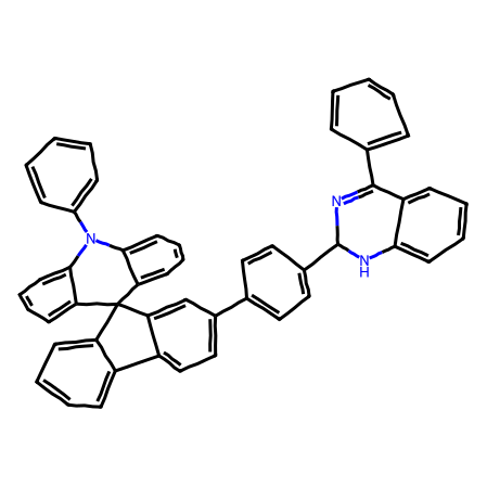 c1ccc(C2=NC(c3ccc(-c4ccc5c(c4)C4(c6ccccc6-5)c5ccccc5N(c5ccccc5)c5ccccc54)cc3)Nc3ccccc32)cc1